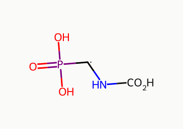 O=C(O)N[CH]P(=O)(O)O